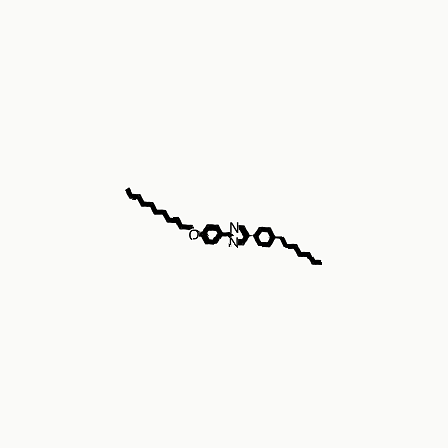 CCCCCCCCCCCOc1ccc(-c2ncc([C@H]3CC[C@H](CCCCCCC)CC3)cn2)cc1